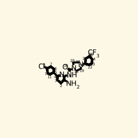 Nc1ccc(-c2ccc(Cl)cc2)nc1NC(=O)N1CCN(c2cccc(C(F)(F)F)c2)CC1